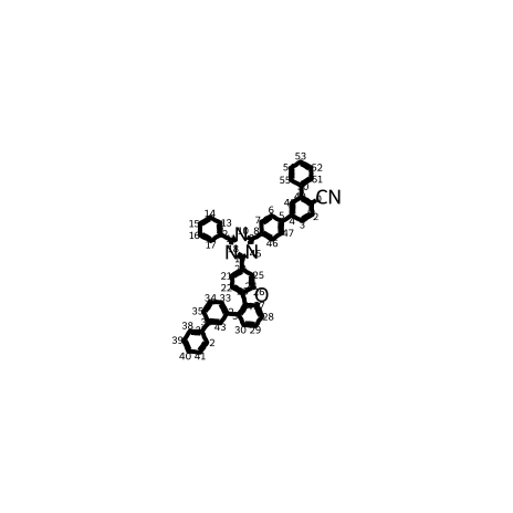 N#Cc1ccc(-c2ccc(-c3nc(-c4ccccc4)nc(-c4ccc5c(c4)oc4cccc(-c6cccc(-c7ccccc7)c6)c45)n3)cc2)cc1-c1ccccc1